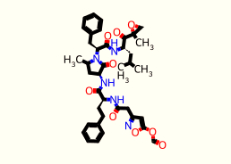 CC(C)C[C@H](NC(=O)[C@H](Cc1ccccc1)N1C(=O)[C@@H](NC(=O)[C@H](CCc2ccccc2)NC(=O)Cc2cc(OC=O)on2)CC1C)C(=O)C1(C)CO1